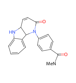 CNC(=O)c1ccc(N2C(=O)C=CC3Nc4ccccc4C32)cc1